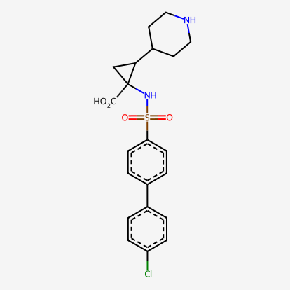 O=C(O)C1(NS(=O)(=O)c2ccc(-c3ccc(Cl)cc3)cc2)CC1C1CCNCC1